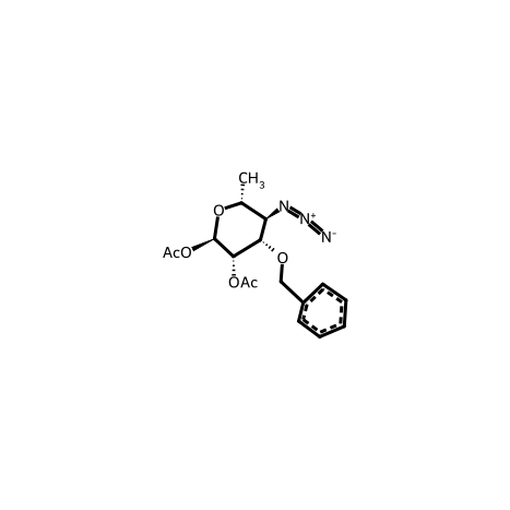 CC(=O)O[C@H]1O[C@H](C)[C@@H](N=[N+]=[N-])[C@H](OCc2ccccc2)[C@@H]1OC(C)=O